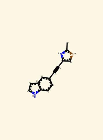 Cc1nc(C#Cc2ccc3[nH]ccc3c2)cs1